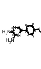 CCc1ccc(-c2cnc(N)c(N)n2)cc1